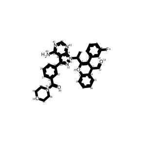 CC(C1=C(c2cccc(F)c2)C(C=O)c2ccccc2O1)n1nc(-c2cccc(C(=O)N3CCOCC3)c2)c2c(N)ncnc21